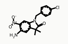 CC1(C)C(=O)N(Cc2ccc(Cl)cc2)c2cc([N+](=O)[O-])c(N)cc21